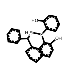 Oc1ccccc1P([SiH2]C(c1ccccc1)c1ccccc1)c1ccccc1O